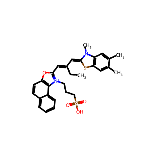 CCC(=Cc1oc2ccc3ccccc3c2[n+]1CCCS(=O)(=O)O)C=C1Sc2cc(C)c(C)cc2N1C